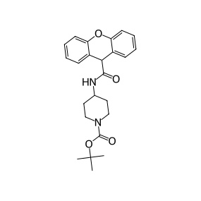 CC(C)(C)OC(=O)N1CCC(NC(=O)C2c3ccccc3Oc3ccccc32)CC1